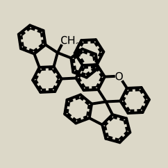 CC1(c2ccccc2)c2ccccc2-c2cccc(-c3cc4c(c5ccccc35)Oc3ccccc3C43c4ccccc4-c4ccccc43)c21